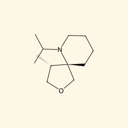 CC(C)N1CCCC[C@]12COC[C@@H]2C